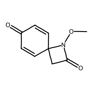 CON1C(=O)CC12C=CC(=O)C=C2